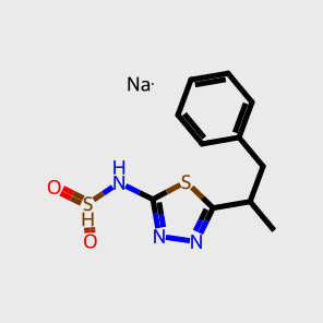 CC(Cc1ccccc1)c1nnc(N[SH](=O)=O)s1.[Na]